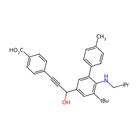 Cc1ccc(-c2cc(C(O)C#Cc3ccc(C(=O)O)cc3)cc(C(C)(C)C)c2NCC(C)C)cc1